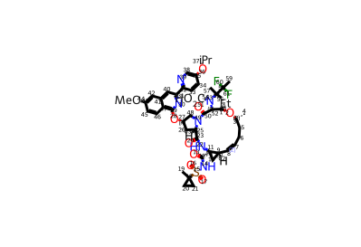 CC[C@@H]1O[C@H](C)CC/C=C\[C@@H]2C[C@@]2(C(=O)NS(=O)(=O)C2(C)CC2)NC(=O)[C@@H]2C[C@@H](Oc3nc(-c4ccc(OC(C)C)cn4)cc4cc(OC)ccc34)CN2C(=O)[C@H]1N(C(=O)O)C(C)(C)C(C)(F)F